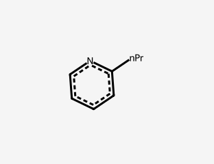 [CH]CCc1ccccn1